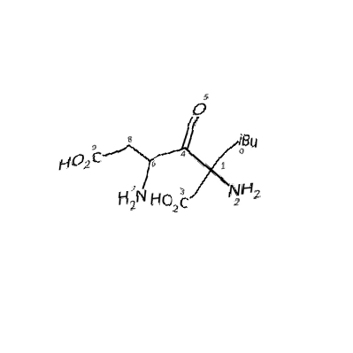 CCC(C)C(N)(C(=O)O)C(=O)C(N)CC(=O)O